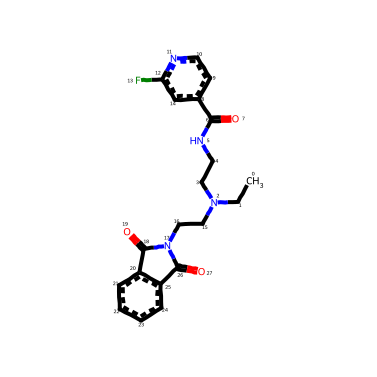 CCN(CCNC(=O)c1ccnc(F)c1)CCN1C(=O)c2ccccc2C1=O